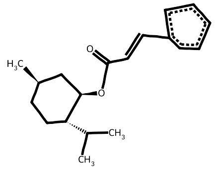 CC(C)[C@@H]1CC[C@@H](C)C[C@H]1OC(=O)/C=C/c1ccccc1